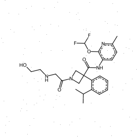 Cc1ccc(NC(=O)C2(c3ccccc3C(C)C)CN(C(=O)CNCCO)C2)c(OC(F)F)n1